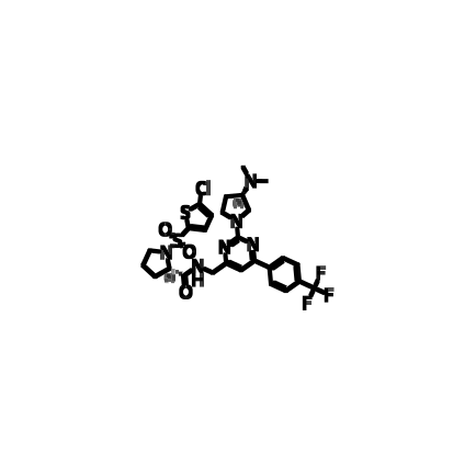 CN(C)[C@@H]1CCN(c2nc(CNC(=O)[C@@H]3CCCN3S(=O)(=O)c3ccc(Cl)s3)cc(-c3ccc(C(F)(F)F)cc3)n2)C1